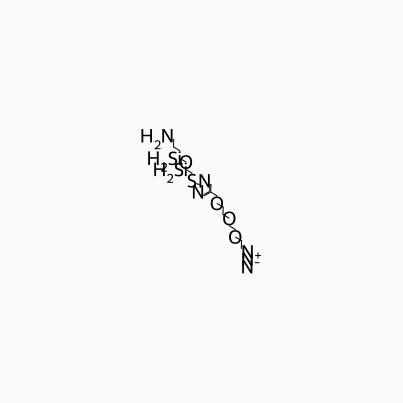 [N-]=[N+]=NCCOCCOCCOCc1cnc(SC[SiH2]O[SiH2]CCCN)nc1